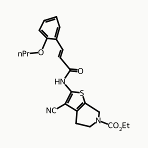 CCCOc1ccccc1C=CC(=O)Nc1sc2c(c1C#N)CCN(C(=O)OCC)C2